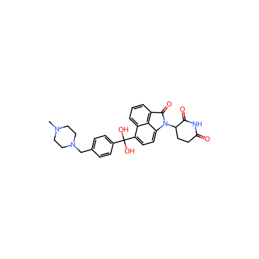 CN1CCN(Cc2ccc(C(O)(O)c3ccc4c5c(cccc35)C(=O)N4C3CCC(=O)NC3=O)cc2)CC1